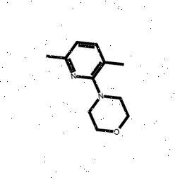 Cc1ccc(C)c(N2CCOCC2)n1